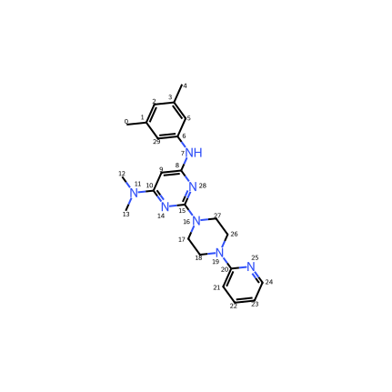 Cc1cc(C)cc(Nc2cc(N(C)C)nc(N3CCN(c4ccccn4)CC3)n2)c1